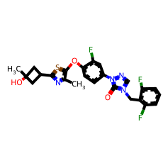 Cc1nc(C2CC(C)(O)C2)sc1Oc1ccc(-n2ncn(Cc3c(F)cccc3F)c2=O)cc1F